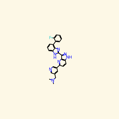 CN(C)Cc1cncc(-c2ccc3[nH]nc(-c4nc5c(-c6ccccc6F)cccc5[nH]4)c3n2)c1